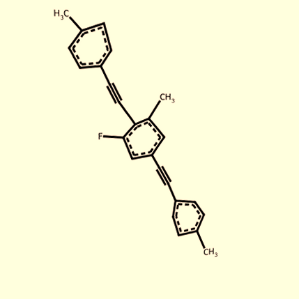 Cc1ccc(C#Cc2cc(C)c(C#Cc3ccc(C)cc3)c(F)c2)cc1